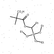 CCO[Si](OCC)(OCC)C(CC)OC(=O)C(C)(C)C(=O)O